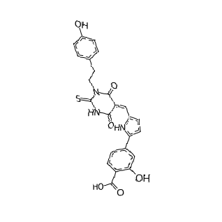 O=C1NC(=S)N(CCc2ccc(O)cc2)C(=O)C1=Cc1ccc(-c2ccc(C(=O)O)c(O)c2)[nH]1